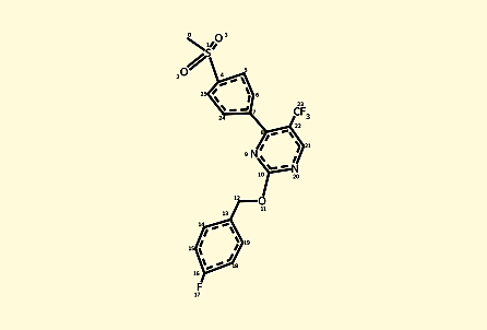 CS(=O)(=O)c1ccc(-c2nc(OCc3ccc(F)cc3)ncc2C(F)(F)F)cc1